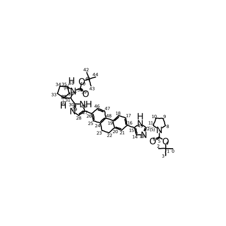 CC(C)(C)OC(=O)N1CCC[C@H]1c1ncc(-c2ccc3c(c2)CCc2cc(-c4cnc(C5[C@H]6CC[C@H](C6)N5C(=O)OC(C)(C)C)[nH]4)ccc2-3)[nH]1